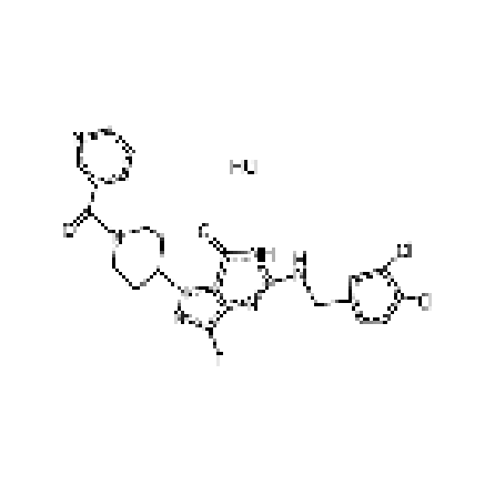 Cl.O=C(c1cccnc1)N1CCC(n2nc(F)c3nc(NCc4ccc(Cl)c(Cl)c4)[nH]c(=O)c32)CC1